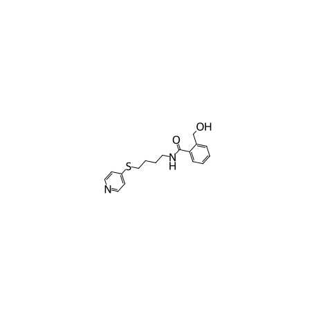 O=C(NCCCCSc1ccncc1)c1ccccc1CO